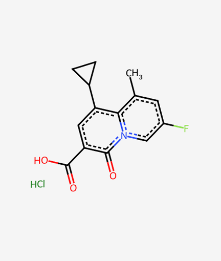 Cc1cc(F)cn2c(=O)c(C(=O)O)cc(C3CC3)c12.Cl